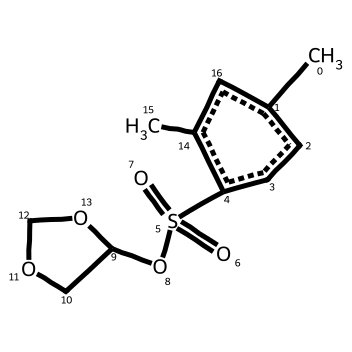 Cc1ccc(S(=O)(=O)OC2COCO2)c(C)c1